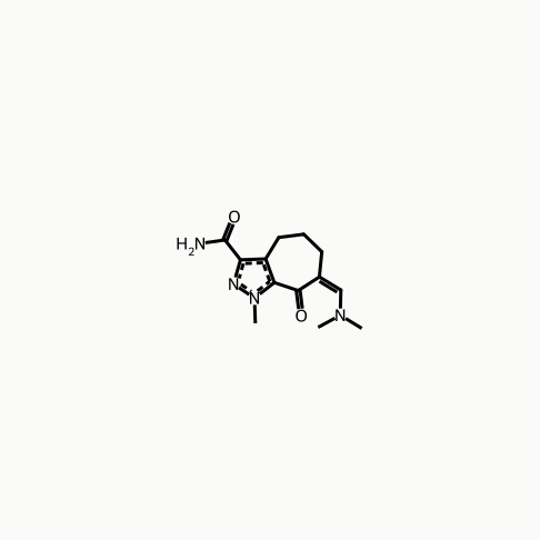 CN(C)C=C1CCCc2c(C(N)=O)nn(C)c2C1=O